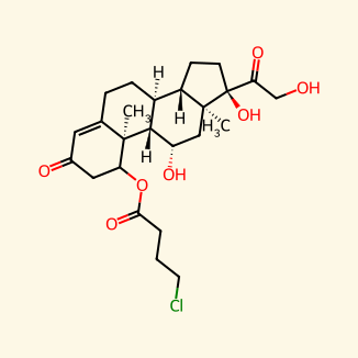 C[C@]12C[C@H](O)[C@H]3[C@@H](CCC4=CC(=O)CC(OC(=O)CCCCl)[C@@]43C)[C@@H]1CC[C@]2(O)C(=O)CO